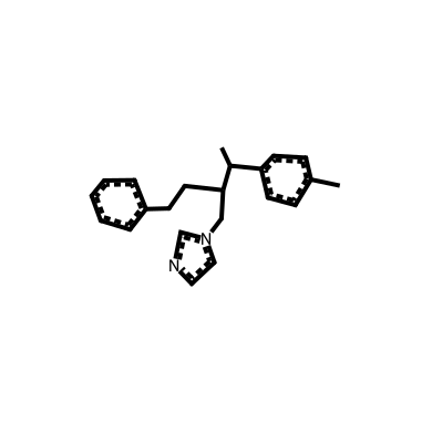 Cc1ccc(C(C)C(CCc2ccccc2)Cn2ccnc2)cc1